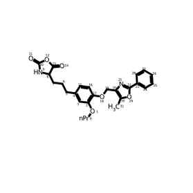 CCCOc1cc(CCCC2NC(=O)OC2=O)ccc1OCc1nc(-c2ccccc2)oc1C